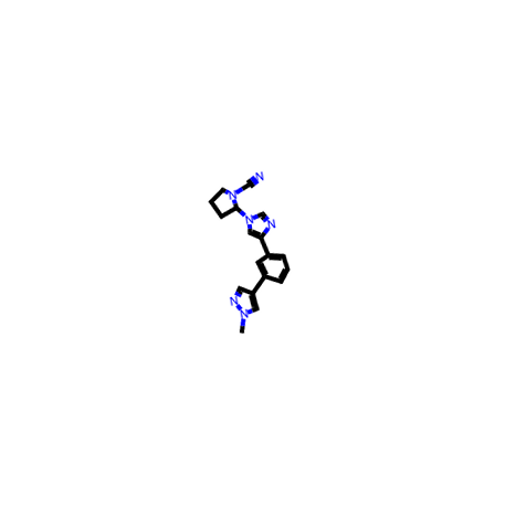 Cn1cc(-c2cccc(-c3cn(C4CCCN4C#N)cn3)c2)cn1